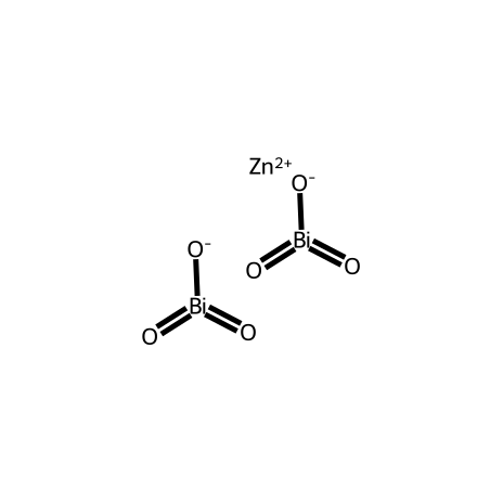 [O]=[Bi](=[O])[O-].[O]=[Bi](=[O])[O-].[Zn+2]